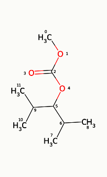 COC(=O)OC(C(C)C)C(C)C